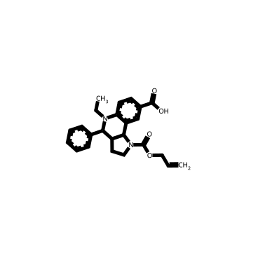 C=CCOC(=O)N1CCC2C1c1cc(C(=O)O)ccc1N(CC)C2c1ccccc1